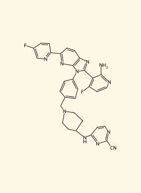 N#Cc1nccc(NC2CCN(Cc3ccc(-n4c(-c5c(F)ccnc5N)nc5ccc(-c6ccc(F)cn6)nc54)cc3)CC2)n1